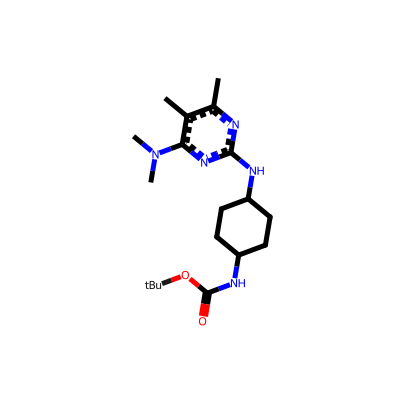 Cc1nc(NC2CCC(NC(=O)OC(C)(C)C)CC2)nc(N(C)C)c1C